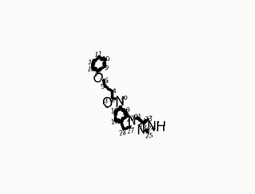 CN(C(=O)CCCOc1ccccc1)c1ccc2c(c1)N(Cc1c[nH]cn1)CC2